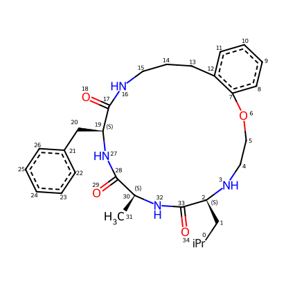 CC(C)C[C@@H]1NCCOc2ccccc2CCCNC(=O)[C@H](Cc2ccccc2)NC(=O)[C@H](C)NC1=O